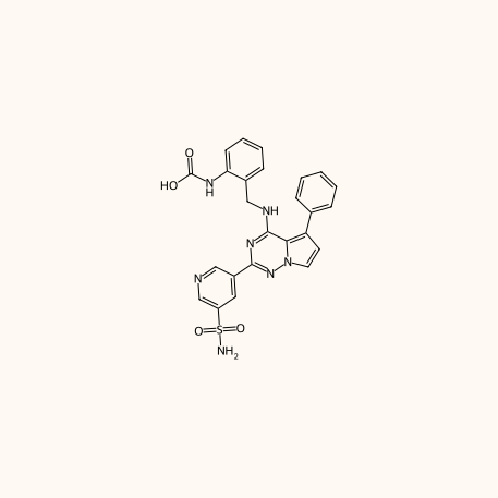 NS(=O)(=O)c1cncc(-c2nc(NCc3ccccc3NC(=O)O)c3c(-c4ccccc4)ccn3n2)c1